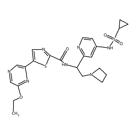 CCOc1cncc(-c2cnc(C(=O)NC(CN3CCC3)c3cc(NS(=O)(=O)C4CC4)ccn3)s2)n1